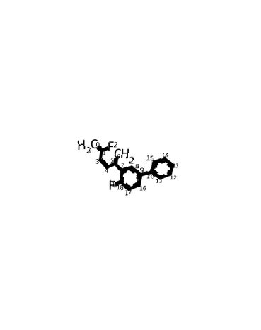 C=C(F)/C=C\C(=C)c1cc(-c2ccccc2)ccc1F